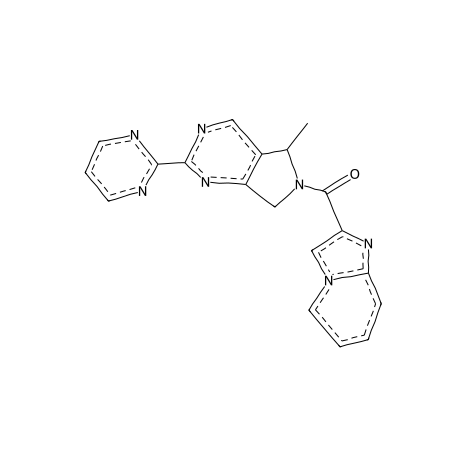 CC1c2cnc(-c3ncccn3)nc2CN1C(=O)c1cn2ccccc2n1